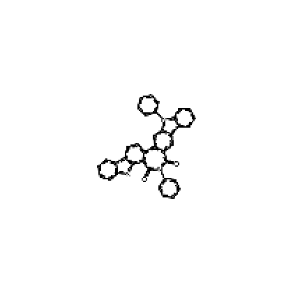 O=c1c2cc3c4ccccc4n(-c4ccccc4)c3cc2c2ccc3c4ccccc4sc3c2c(=O)n1-c1ccccc1